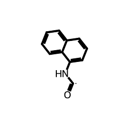 O=[C]Nc1cccc2ccccc12